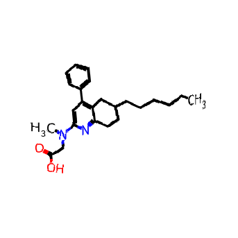 CCCCCCC1CCc2nc(N(C)CC(=O)O)cc(-c3ccccc3)c2C1